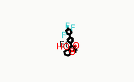 CCc1cc(-c2cc(F)c(F)cc2F)ccc1C1=C(O)C2(CCCCC2)OC(C)(C)C1=O